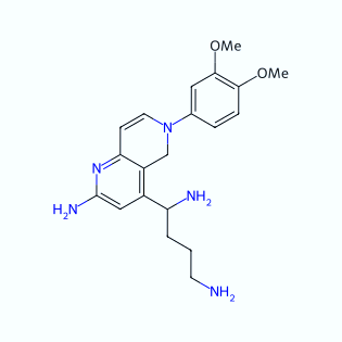 COc1ccc(N2C=Cc3nc(N)cc(C(N)CCCN)c3C2)cc1OC